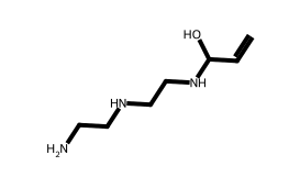 C=CC(O)NCCNCCN